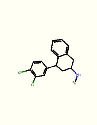 [2H]NC1Cc2ccccc2C(c2ccc(Cl)c(Cl)c2)C1